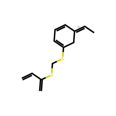 C=CC(=C)SCSC1=CC=C/C(=C/C)C1